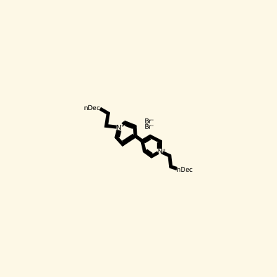 CCCCCCCCCCCC[n+]1ccc(-c2cc[n+](CCCCCCCCCCCC)cc2)cc1.[Br-].[Br-]